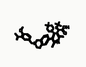 COc1ccc(CN2CCc3cc(-c4c(C)nc(C)c(C(OC(C)(C)C)C(=O)O)c4N4CCC(C)(C)CC4)ccc3C2)cc1C(C)C